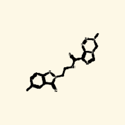 Cc1ccc2sn(CCNC(=O)c3ncn4c3N=NN(C)C4)c(=O)c2c1